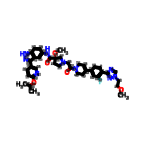 COCCn1cnc(-c2ccc(C3=CCN(C(=O)CN4CC[C@@](OC)(C(=O)Nc5ccc6[nH]nc(-c7ccc(OC(C)C)nc7)c6c5)C4)CC3)cc2F)n1